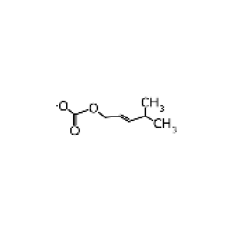 CC(C)C=CCOC([O])=O